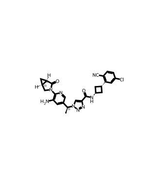 C[C@@H](c1cnc(N2C[C@H]3C[C@H]3C2=O)c(N)c1)n1cc(C(=O)N[C@H]2C[C@@H](c3cc(Cl)ccc3C#N)C2)nn1